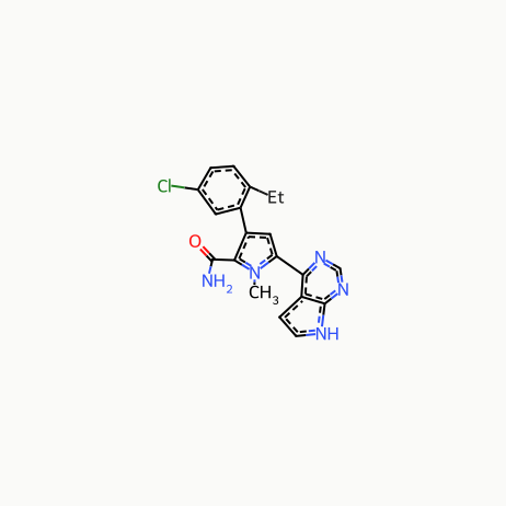 CCc1ccc(Cl)cc1-c1cc(-c2ncnc3[nH]ccc23)n(C)c1C(N)=O